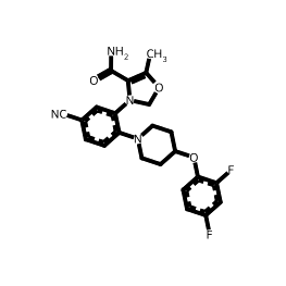 CC1=C(C(N)=O)N(c2cc(C#N)ccc2N2CCC(Oc3ccc(F)cc3F)CC2)CO1